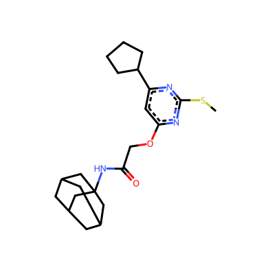 CSc1nc(OCC(=O)NC23CC4CC(CC(C4)C2)C3)cc(C2CCCC2)n1